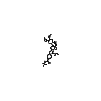 CCOC(=O)C1(CCCc2c(Cl)cnc3cc(OC)c(OC)cc23)CCN(C(=O)OC(C)(C)C)CC1